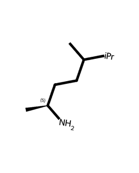 CC(C)C(C)CC[C@H](C)N